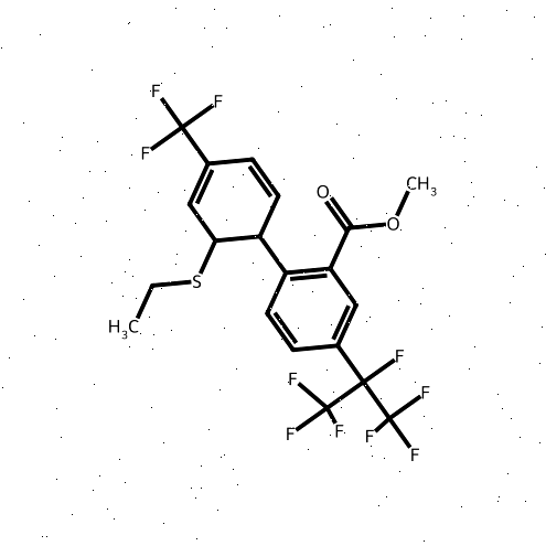 CCSC1C=C(C(F)(F)F)C=CC1c1ccc(C(F)(C(F)(F)F)C(F)(F)F)cc1C(=O)OC